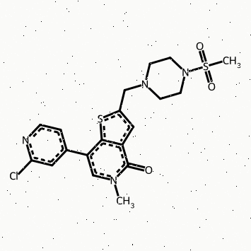 Cn1cc(-c2ccnc(Cl)c2)c2sc(CN3CCN(S(C)(=O)=O)CC3)cc2c1=O